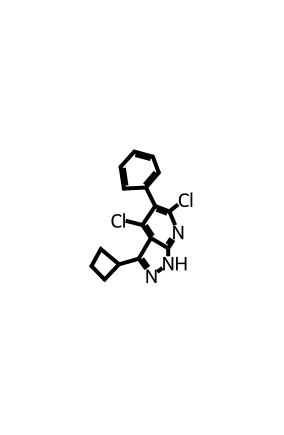 Clc1nc2[nH]nc(C3CCC3)c2c(Cl)c1-c1ccccc1